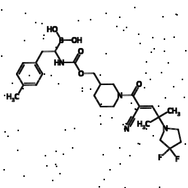 Cc1ccc(CC(NC(=O)OCC2CCCN(C(=O)C(C#N)=CC(C)(C)N3CCC(F)(F)C3)C2)B(O)O)cc1